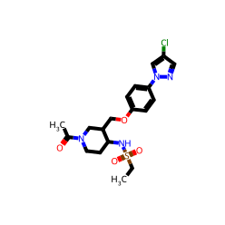 CCS(=O)(=O)NC1CCN(C(C)=O)CC1COc1ccc(-n2cc(Cl)cn2)cc1